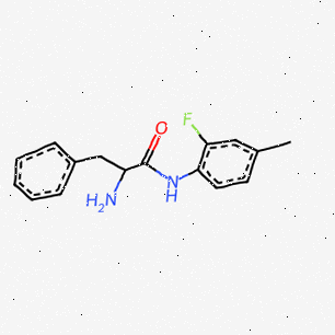 Cc1ccc(NC(=O)C(N)Cc2ccccc2)c(F)c1